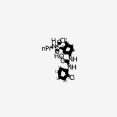 CCCNS(=O)(=O)c1c(Cl)ccc(NC(=O)Nc2ccccc2Cl)c1O